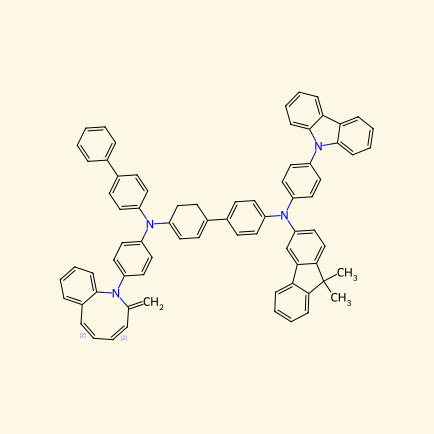 C=C1/C=C\C=C/c2ccccc2N1c1ccc(N(C2=CC=C(c3ccc(N(c4ccc(-n5c6ccccc6c6ccccc65)cc4)c4ccc5c(c4)-c4ccccc4C5(C)C)cc3)CC2)c2ccc(-c3ccccc3)cc2)cc1